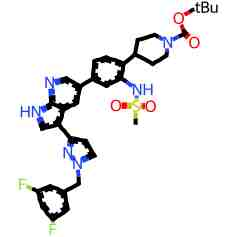 CC(C)(C)OC(=O)N1CCC(c2ccc(-c3cnc4[nH]cc(-c5ccn(Cc6cc(F)cc(F)c6)n5)c4c3)cc2NS(C)(=O)=O)CC1